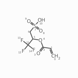 C=CC(=O)OC(CS(=O)(=O)O)C(F)(F)F